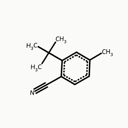 Cc1ccc(C#N)c(C(C)(C)C)c1